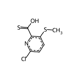 CSc1ccc(Cl)nc1C(O)=S